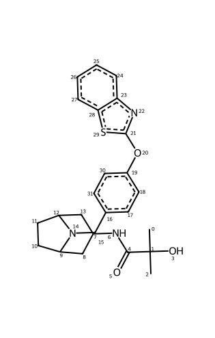 CC(C)(O)C(=O)NC1CC2CCC(C1)N2Cc1ccc(Oc2nc3ccccc3s2)cc1